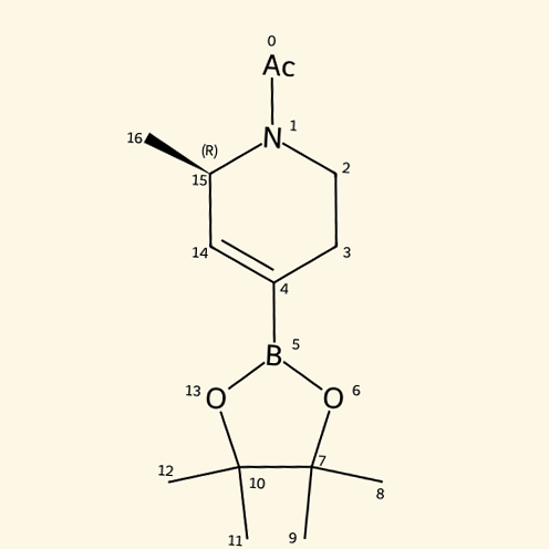 CC(=O)N1CCC(B2OC(C)(C)C(C)(C)O2)=C[C@H]1C